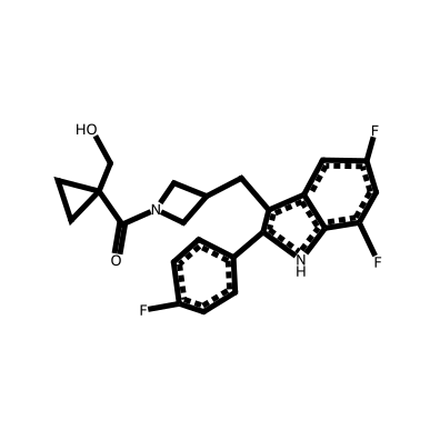 O=C(N1CC(Cc2c(-c3ccc(F)cc3)[nH]c3c(F)cc(F)cc23)C1)C1(CO)CC1